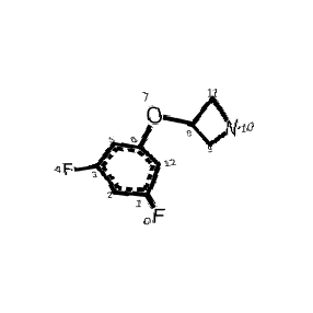 Fc1cc(F)cc(OC2C[N]C2)c1